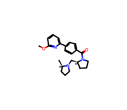 COc1cccc(-c2ccc(C(=O)N3CCC[C@H]3CN3CCC[C@H]3C)cc2)n1